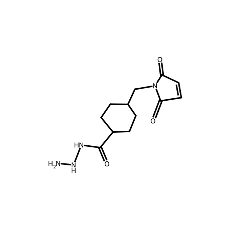 NNNC(=O)C1CCC(CN2C(=O)C=CC2=O)CC1